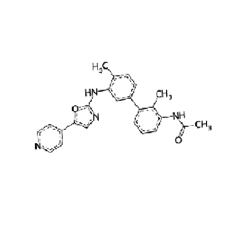 CC(=O)Nc1cccc(-c2ccc(C)c(Nc3ncc(-c4ccncc4)o3)c2)c1C